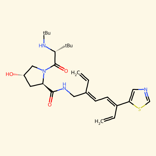 C=C/C(=C\C=C(/C=C)c1cncs1)CNC(=O)[C@H]1C[C@H](O)CN1C(=O)[C@H](NC(C)(C)C)C(C)(C)C